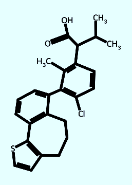 Cc1c(C(C(=O)O)C(C)C)ccc(Cl)c1-c1cccc2c1CCCc1ccsc1-2